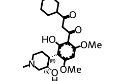 COc1cc(OC)c([C@H]2CCN(C)C[C@H]2O)c(O)c1C(=O)CC(=O)C1CCCCC1